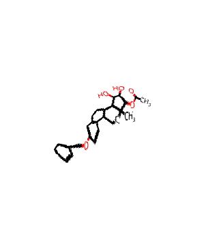 CC(=O)OC1C(O)C(O)C2C3CCc4cc(OCc5ccccc5)ccc4C3CCC12C